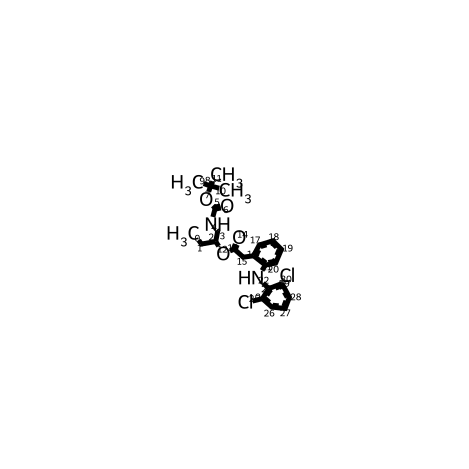 CCC(CNC(=O)OC(C)(C)C)OC(=O)Cc1ccccc1Nc1c(Cl)cccc1Cl